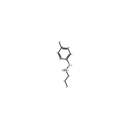 CCCNSc1ccc(C)cc1